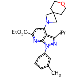 CCOC(=O)c1cc(N2CC3(CCOCC3)C2)c2c(C(C)C)nn(-c3cccc(C)c3)c2n1